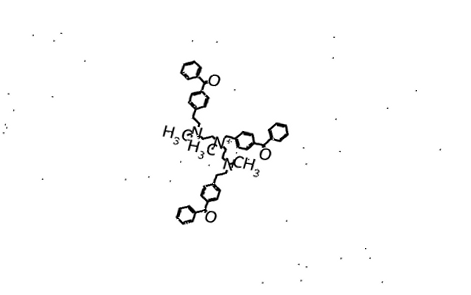 CN(CCc1ccc(C(=O)c2ccccc2)cc1)CC[N+](C)(CCN(C)CCc1ccc(C(=O)c2ccccc2)cc1)Cc1ccc(C(=O)c2ccccc2)cc1